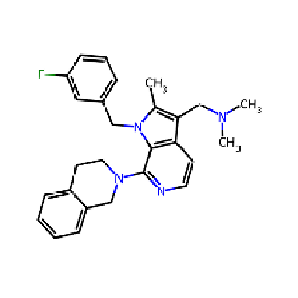 Cc1c(CN(C)C)c2ccnc(N3CCc4ccccc4C3)c2n1Cc1cccc(F)c1